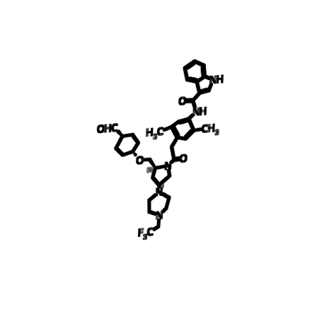 Cc1cc(NC(=O)c2c[nH]c3ccccc23)c(C)cc1CC(=O)N1C[C@@H](N2CCN(CC(F)(F)F)CC2)C[C@H]1CO[C@H]1CC[C@H](C=O)CC1